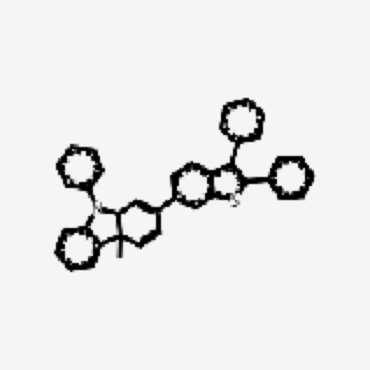 CC12C=CC(c3ccc4c(-c5ccccc5)c(-c5ccccc5)sc4c3)=CC1N(c1ccccc1)c1ccccc12